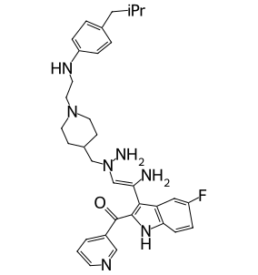 CC(C)Cc1ccc(NCCN2CCC(CN(N)/C=C(\N)c3c(C(=O)c4cccnc4)[nH]c4ccc(F)cc34)CC2)cc1